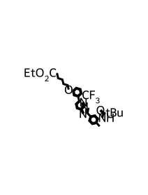 CCOC(=O)CCCCCOc1ccc(C(F)(F)F)c(-c2ccc3nc(-c4ccc(C)c(NC(=O)C(C)(C)C)c4)cn3n2)c1